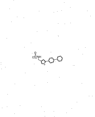 O=[SH](=O)NCc1csc(-c2ccc(-c3ccccc3)cc2)c1